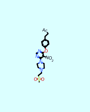 CC(=O)CCc1ccc(Oc2ncnc(N3CCN(CCS(C)(=O)=O)CC3)c2[N+](=O)[O-])cc1